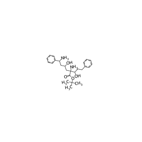 CC(C)(C)OC(=O)C(N)(CC(O)CC(N)c1ccccc1)C(O)CCc1ccccc1